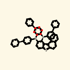 c1ccc(-c2ccc(N(c3ccccc3)c3ccc4sc5ccc6ccccc6c5c4c3N(c3ccc(-c4ccccc4)cc3)c3cccc(-c4ccccc4)c3)cc2)cc1